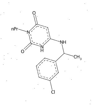 CCCn1c(=O)cc(NC(C)c2cccc(Cl)c2)[nH]c1=O